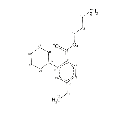 CCCCOC(=O)c1ccc(CC)cc1C1CCCCC1